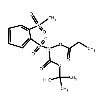 CCC(=O)ON(C(=O)OC(C)(C)C)S(=O)(=O)c1ccccc1S(C)(=O)=O